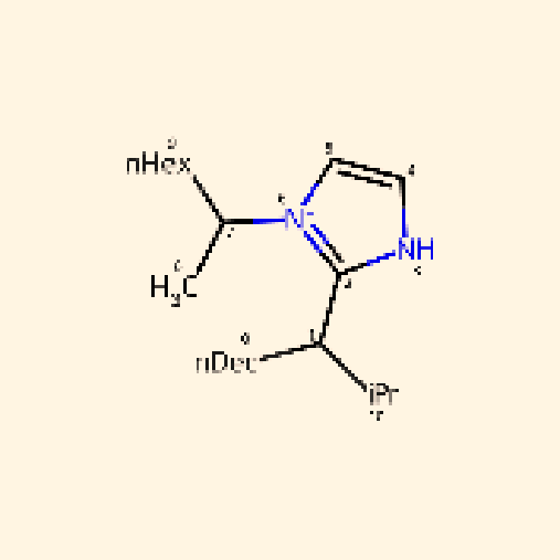 CCCCCCCCCCC(c1[nH]cc[n+]1C(C)CCCCCC)C(C)C